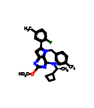 Cc1ccc(F)c(-c2cc3nc(OC(=O)O)nc(N[C@H](C)C4CCC4)c3n2Cc2ccc(C(F)(F)F)cc2)c1